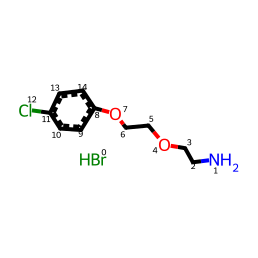 Br.NCCOCCOc1ccc(Cl)cc1